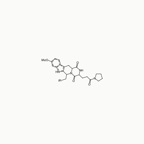 COc1ccc2c3c([nH]c2c1)C(CC(C)C)N1C(=O)C(CCC(=O)N2CCCC2)NC(=O)C1C3